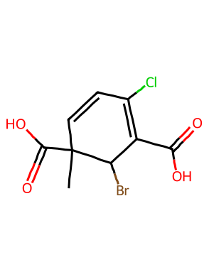 CC1(C(=O)O)C=CC(Cl)=C(C(=O)O)C1Br